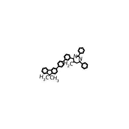 C=C1CC(c2ccccc2)=NC(c2ccccc2)=NC1c1cccc(-c2ccc(-c3ccc4c(c3)-c3ccccc3C4(C)C)cc2)c1